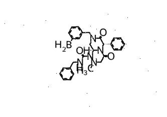 Bc1cccc(CN2C[C@H]3N(C(=O)CN(C)N3C(=O)NCc3ccccc3)[C@@H](c3ccccc3)C2=O)c1